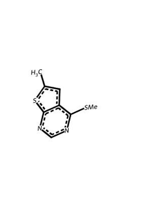 CSc1ncnc2sc(C)cc12